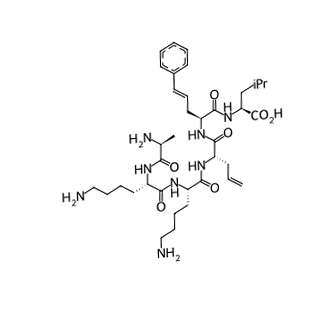 C=CC[C@H](NC(=O)[C@H](CCCCN)NC(=O)[C@H](CCCCN)NC(=O)[C@H](C)N)C(=O)N[C@@H](C/C=C/c1ccccc1)C(=O)N[C@@H](CC(C)C)C(=O)O